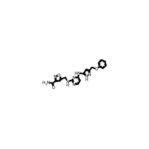 NC(=O)c1cc(CNc2nccc(Nc3cc(COc4ccccc4)n[nH]3)n2)on1